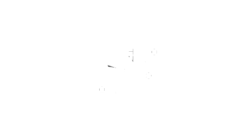 COC(=O)N[C@H](CCc1ccccc1)CC(C)=O